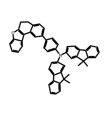 CC1(C)c2ccccc2-c2ccc(N(c3ccc(-c4ccc5c(c4)-c4c(oc6ccccc46)CC5)cc3)c3ccc4c(c3)C(C)(C)c3ccccc3-4)cc21